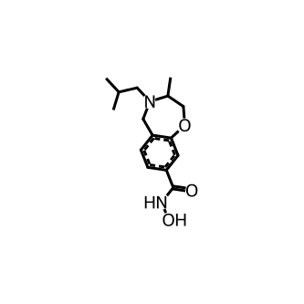 CC(C)CN1Cc2ccc(C(=O)NO)cc2OCC1C